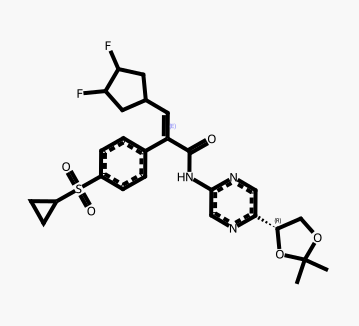 CC1(C)OC[C@@H](c2cnc(NC(=O)/C(=C/C3CC(F)C(F)C3)c3ccc(S(=O)(=O)C4CC4)cc3)cn2)O1